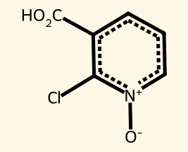 O=C(O)c1ccc[n+]([O-])c1Cl